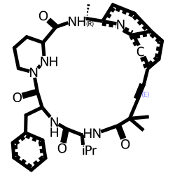 CC(C)C1NC(=O)C(C)(C)/C=C/c2ccc3ccc(nc3c2)[C@@H](C)NC(=O)C2CCCN(N2)C(=O)C(Cc2ccccc2)NC1=O